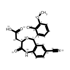 COc1cccc([C@H]2O[C@H](CC(=O)O)C(=O)Nc3ccc(C#N)cc32)c1Cl